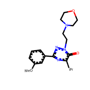 COc1cccc(-c2nc(C(C)C)c(=O)n(CCN3CCOCC3)n2)c1